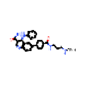 NC(=O)c1cnc2ccc(-c3ccc(C(=O)NCCCNC(=O)O)cc3)cc2c1Nc1ccccc1